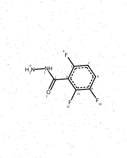 NNC(=O)c1c(F)ccc(F)c1F